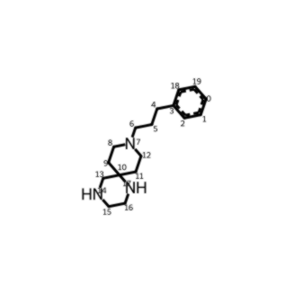 c1ccc(CCCN2CCC3(CC2)CNCCN3)cc1